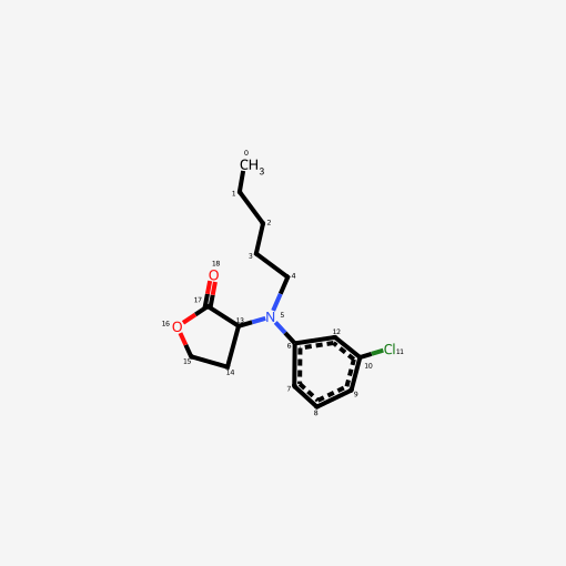 CCCCCN(c1cccc(Cl)c1)C1CCOC1=O